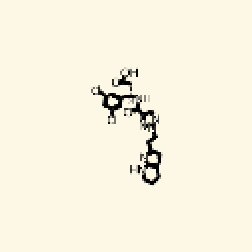 O=C(O)C[C@H](NC(=O)c1cnn(CCc2ccc3c(n2)NCCC3)n1)c1cc(Cl)cc(Cl)c1